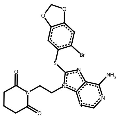 Nc1ncnc2c1nc(Sc1cc3c(cc1Br)OCO3)n2CCN1C(=O)CCCC1=O